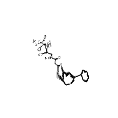 O=C(Cc1nc2ccc(-c3ccccc3)cc2s1)NCC(=O)NS(=O)(=O)C(F)(F)F